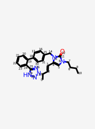 CCC=Cc1cn(CCCC)c(=O)n1Cc1ccc(-c2ccccc2-c2nnn[nH]2)cc1